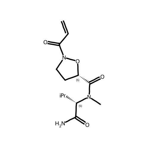 C=CC(=O)N1CC[C@@H](C(=O)N(C)[C@H](C(N)=O)C(C)C)O1